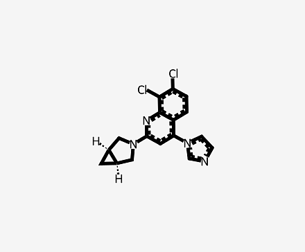 Clc1ccc2c(-n3ccnc3)cc(N3C[C@H]4C[C@H]4C3)nc2c1Cl